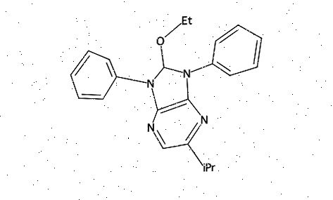 CCOC1N(c2ccccc2)c2ncc(C(C)C)nc2N1c1ccccc1